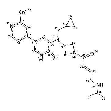 COc1cc(-c2c[nH]c(=O)c(N(CC3CC3)C3CN(C(=O)C=CCNC(C)C)C3)c2)ccn1